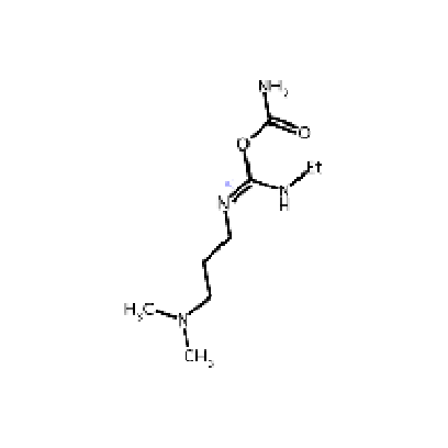 CCN/C(=N\CCCN(C)C)OC(N)=O